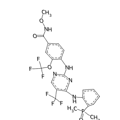 CONC(=O)c1ccc(Nc2ncc(C(F)(F)F)c(Nc3ccccc3P(C)(C)=O)n2)c(OC(F)(F)F)c1